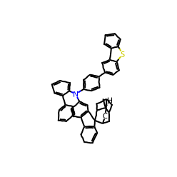 C[C@H]1C2CC3CC(C2)C2(C4=C(CCC=C4)c4ccc(N(c5ccc(-c6ccc7sc8ccccc8c7c6)cc5)c5ccccc5-c5ccccc5)cc42)C1C3